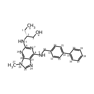 CC[C@H](CO)Nc1nc(NCc2ccc(-c3ccccc3)cc2)c2ncn(C)c2n1